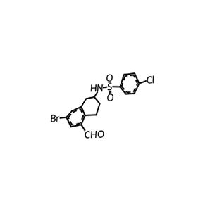 O=Cc1cc(Br)cc2c1CCC(NS(=O)(=O)c1ccc(Cl)cc1)C2